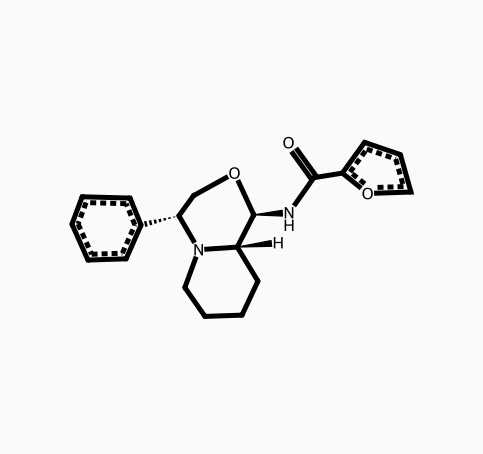 O=C(N[C@@H]1OC[C@@H](c2ccccc2)N2CCCC[C@@H]12)c1ccco1